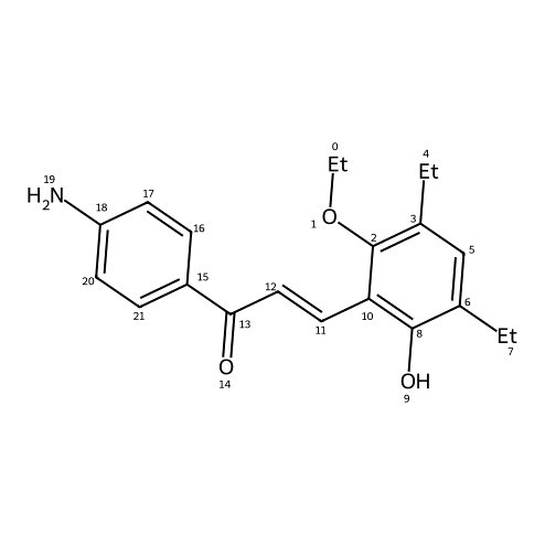 CCOc1c(CC)cc(CC)c(O)c1/C=C/C(=O)c1ccc(N)cc1